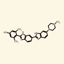 Cc1cc(O)cc(C)c1-c1nc2ccc(-c3nc4ccc(N5CCN(C)CC5)cc4[nH]3)cc2[nH]1